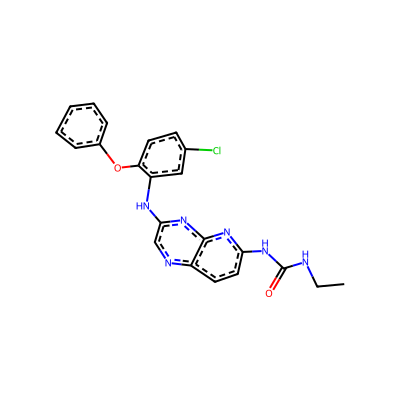 CCNC(=O)Nc1ccc2ncc(Nc3cc(Cl)ccc3Oc3ccccc3)nc2n1